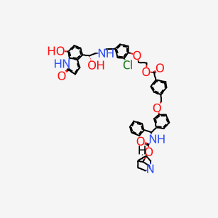 O=C(N[C@@H](c1ccccc1)c1cccc(OCc2ccc(C(=O)OCCOc3ccc(CNC[C@H](O)c4ccc(O)c5[nH]c(=O)ccc45)cc3Cl)cc2)c1)O[C@H]1CN2CCC1CC2